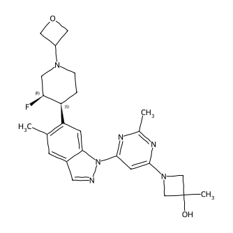 Cc1nc(N2CC(C)(O)C2)cc(-n2ncc3cc(C)c([C@@H]4CCN(C5COC5)C[C@@H]4F)cc32)n1